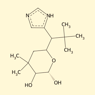 CC(C)(C)C(c1cnc[nH]1)C1CC(C)(C)C(O)[C@@H](O)O1